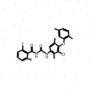 Cc1ccc(C)c(Oc2c(C)cc(NC(=O)NC(=O)c3c(F)cccc3F)c(C)c2Cl)c1